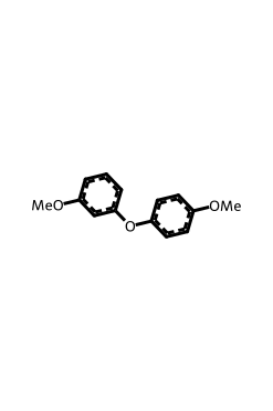 COc1ccc(Oc2cccc(OC)c2)cc1